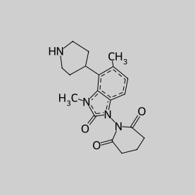 Cc1ccc2c(c1C1CCNCC1)n(C)c(=O)n2N1C(=O)CCCC1=O